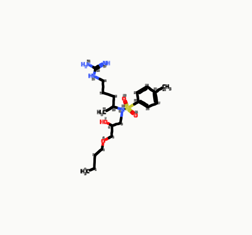 CCCCOCC(O)CN(C(C)CCCNC(=N)N)S(=O)(=O)c1ccc(C)cc1